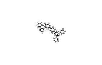 c1ccc(-c2nc(-c3ccccc3)nc(-c3ccc(-c4ccc5nc6c7ccccc7c7ccccc7c6n5c4)cc3)n2)cc1